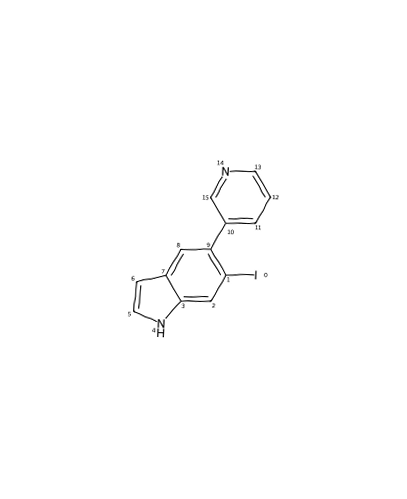 Ic1cc2[nH]ccc2cc1-c1cccnc1